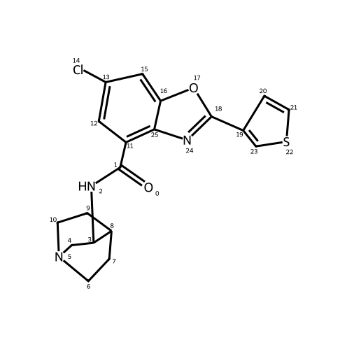 O=C(NC1CN2CCC1CC2)c1cc(Cl)cc2oc(-c3ccsc3)nc12